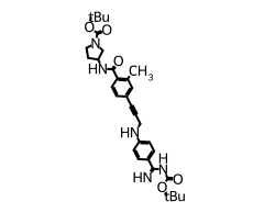 Cc1cc(C#CCNc2ccc(C(=N)NC(=O)OC(C)(C)C)cc2)ccc1C(=O)NC1CCN(C(=O)OC(C)(C)C)C1